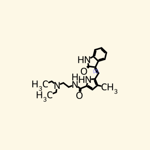 CCN(CC)CCNC(=O)c1cc(C)c(/C=C2\C(=O)Nc3ccccc32)[nH]1